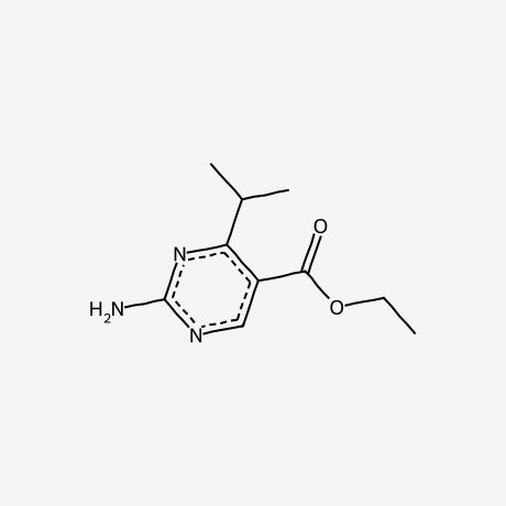 CCOC(=O)c1cnc(N)nc1C(C)C